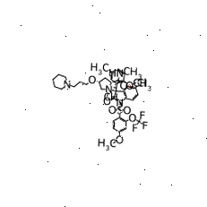 CNC(=O)[C@@H]1C[C@@H](OCCCN2CCCCC2)C[N+]1(C)C1(c2cc(C)ccc2OC)C(=O)N(S(=O)(=O)c2ccc(OC)cc2OC(F)(F)F)c2ccc(Cl)cc21